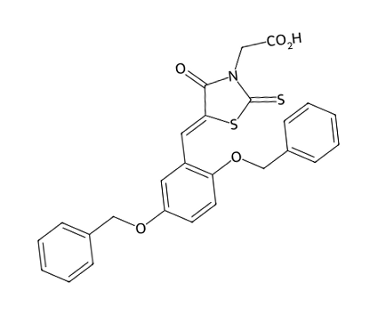 O=C(O)CN1C(=O)C(=Cc2cc(OCc3ccccc3)ccc2OCc2ccccc2)SC1=S